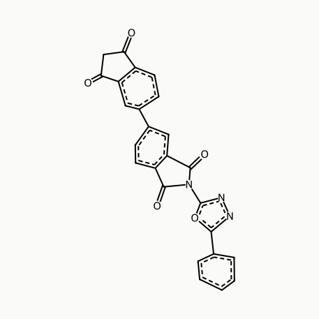 O=C1CC(=O)c2cc(-c3ccc4c(c3)C(=O)N(c3nnc(-c5ccccc5)o3)C4=O)ccc21